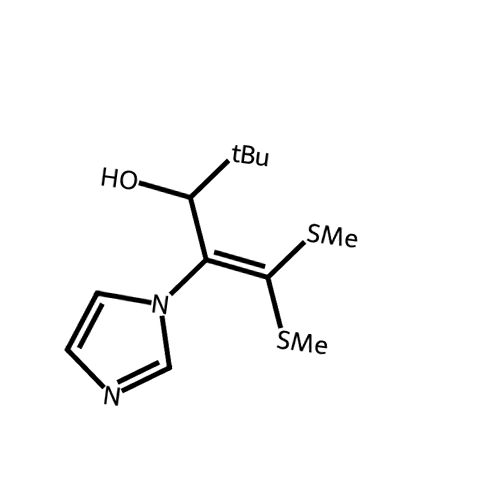 CSC(SC)=C(C(O)C(C)(C)C)n1ccnc1